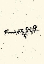 CC[C@H](C)[C@@H]([C@@H](CC(=O)N1CCC[C@H]1[C@H](OC)[C@@H](C)C(=O)N[C@H](C)[C@@H](O)c1ccccc1)OC)N(C)C(=O)[C@@H](NC(=O)C(C)(C)N(C)C(=O)CCCCCN1C(=O)C=CC1=O)C(C)C